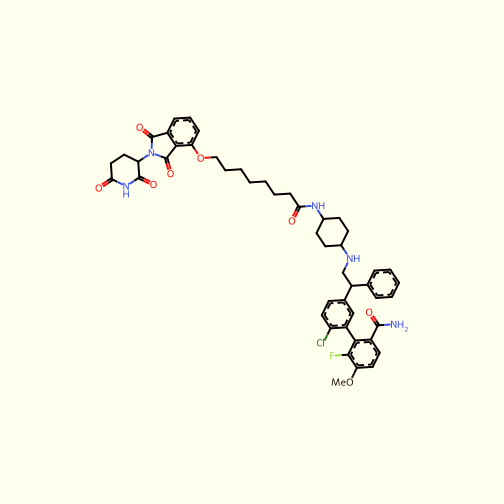 COc1ccc(C(N)=O)c(-c2cc(C(CNC3CCC(NC(=O)CCCCCCCOc4cccc5c4C(=O)N(C4CCC(=O)NC4=O)C5=O)CC3)c3ccccc3)ccc2Cl)c1F